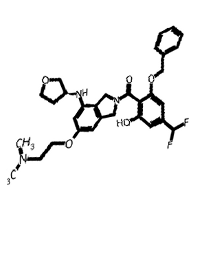 CN(C)CCOc1cc2c(c(N[C@H]3CCOC3)c1)CN(C(=O)c1c(O)cc(C(F)F)cc1OCc1ccccc1)C2